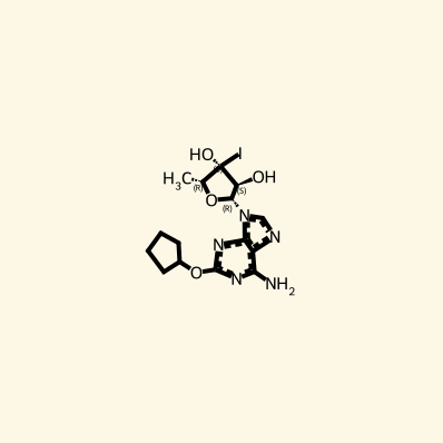 C[C@H]1O[C@@H](n2cnc3c(N)nc(OC4CCCC4)nc32)[C@H](O)[C@]1(O)I